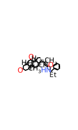 CCC(NC(=O)C[C@@H](C)[C@H]1CC[C@H]2[C@@H]3C(=O)C[C@@H]4CC(=O)CC[C@]4(C)[C@H]3CC[C@]12C)c1ccccc1